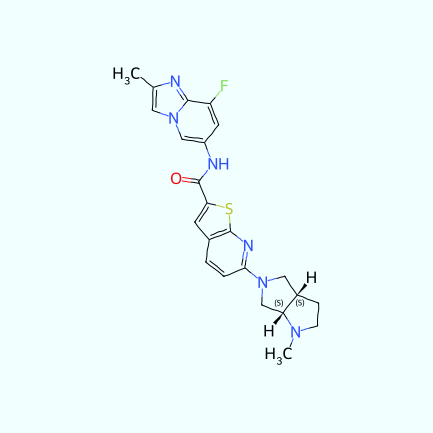 Cc1cn2cc(NC(=O)c3cc4ccc(N5C[C@@H]6CCN(C)[C@@H]6C5)nc4s3)cc(F)c2n1